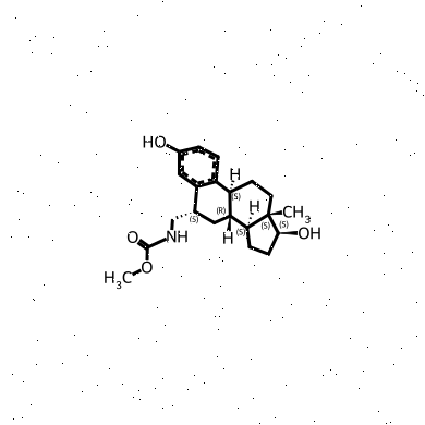 COC(=O)NC[C@H]1C[C@@H]2[C@H](CC[C@]3(C)[C@@H](O)CC[C@@H]23)c2ccc(O)cc21